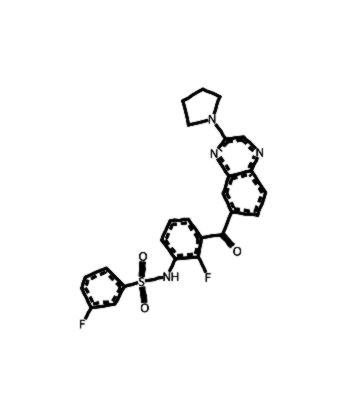 O=C(c1ccc2ncc(N3CCCC3)nc2c1)c1cccc(NS(=O)(=O)c2cccc(F)c2)c1F